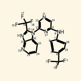 FC(F)(F)c1ccc(Nc2cncc(-n3c(C(F)(F)F)nc4ncccc43)n2)cc1